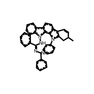 CC1C=Cc2c(n(-c3ccccc3)c3c2ccc2c4ccccc4n(N/C(=N\C(=N)c4ccccc4)c4ccccc4)c23)C1